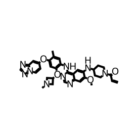 C=CC(=O)N1CCC(Nc2cc3c(Nc4cc(C)c(Oc5ccn6ncnc6c5)cc4OC4CN(C)C4)ncnc3cc2OC)CC1